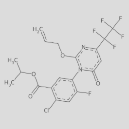 C=CCOc1nc(C(F)(F)C(F)(F)F)cc(=O)n1-c1cc(C(=O)OC(C)C)c(Cl)cc1F